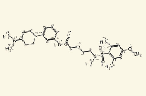 COc1cc(C)c(S(=O)(=O)N(C)CCOCC(=O)Nc2cccc(N3CCC(N(C)C)CC3)c2)c(C)c1